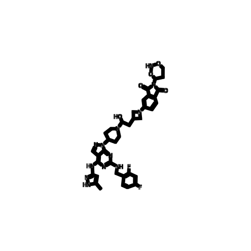 Cc1cc(Nc2nc(NCc3ccc(F)cc3F)nc3c2cnn3C2CCN(C(O)CC3CN(c4ccc5c(c4)C(=O)N(C4CCONO4)C5=O)C3)CC2)n[nH]1